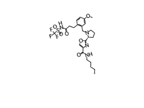 CCCCCNC(=O)c1coc([C@@H]2CCCN2Cc2cc(OC)ccc2CCC(=O)NS(=O)(=O)C(F)(F)F)n1